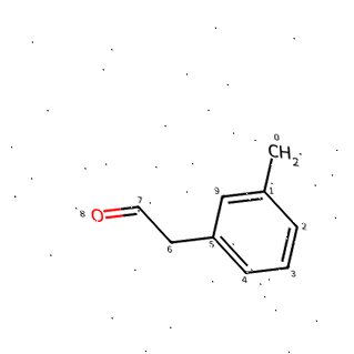 [CH2]c1cccc(C[C]=O)c1